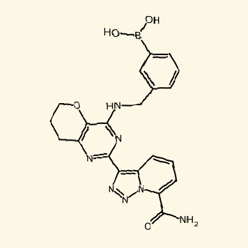 NC(=O)c1cccc2c(-c3nc4c(c(NCc5cccc(B(O)O)c5)n3)OCCC4)nnn12